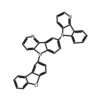 c1ccc2c(c1)oc1ccc(-n3c4ccc(-n5c6ccccc6c6ncccc65)cc4c4ncccc43)cc12